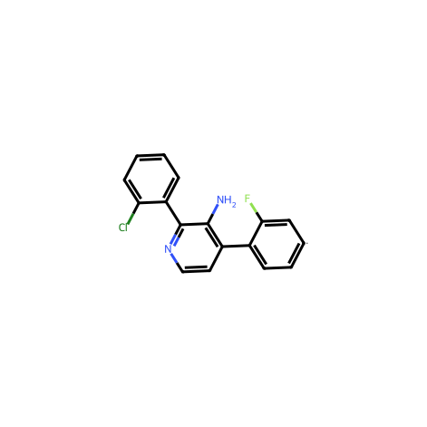 Nc1c(-c2cc[c]cc2F)ccnc1-c1ccccc1Cl